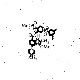 COC[C@@H](C)Nc1cc(N2CCN(C)CC2)ccc1C(=O)Nc1nn(C(=O)OC)c2c1CN(S(=O)(=O)c1cc(F)cc(F)c1)CC2